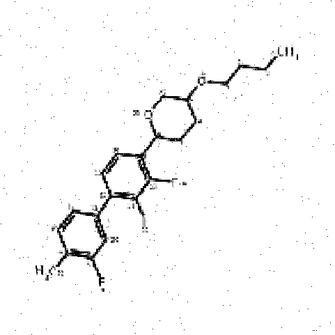 CCCCOC1CCC(c2ccc(-c3ccc(C)c(F)c3)c(F)c2F)OC1